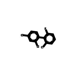 Fc1[c]ccc(Cl)c1-c1ccc(Cl)cc1Cl